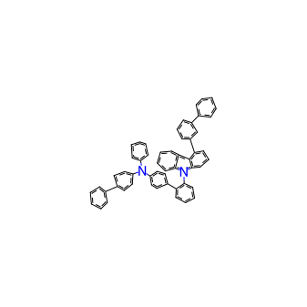 c1ccc(-c2ccc(N(c3ccccc3)c3ccc(-c4ccccc4-n4c5ccccc5c5c(-c6cccc(-c7ccccc7)c6)cccc54)cc3)cc2)cc1